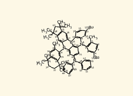 Cc1ccc(C(C)(C)C)cc1N1c2cc(C(C)(C)C)ccc2B2c3cc4c(cc3N(c3cc5c(cc3C)C(C)(C)CCC5(C)C)c3cc(N(c5ccccc5)c5ccccc5)cc1c32)C(C)(C)CC4(C)C